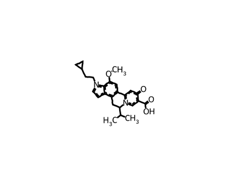 COc1cc2c(c3ccn(CCC4CC4)c13)CC(C(C)C)n1cc(C(=O)O)c(=O)cc1-2